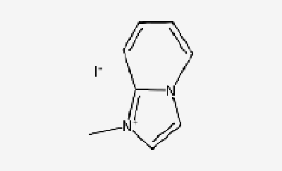 C[n+]1ccn2ccccc21.[I-]